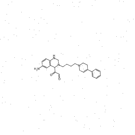 Nc1ccc2c(c1)C(C(=O)C=O)N(CCCCN1CC=C(c3ccccc3)CC1)CN2